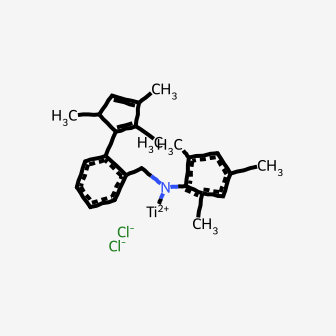 CC1=CC(C)C(c2ccccc2C[N]([Ti+2])c2c(C)cc(C)cc2C)=C1C.[Cl-].[Cl-]